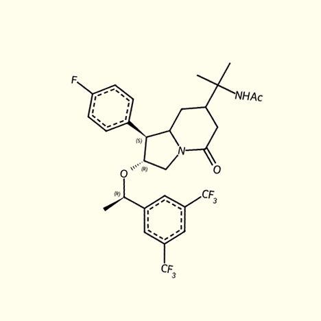 CC(=O)NC(C)(C)C1CC(=O)N2C[C@H](O[C@H](C)c3cc(C(F)(F)F)cc(C(F)(F)F)c3)[C@@H](c3ccc(F)cc3)C2C1